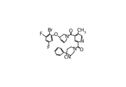 Cc1cnc(C(=O)N2CCC(C#N)(c3ccccc3)CC2)cc1C(=O)N1CC=CC(Oc2cc(F)cc(F)c2Br)C1